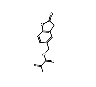 C=C(C)C(=O)OCc1ccc2c(c1)CC(=O)O2